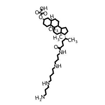 CC(CCC(=O)NCCCNCCCCNCCCN)[C@H]1CCC2C3CC[C@@H]4C[C@H](OS(=O)(=O)O)CC[C@]4(C)C3CC[C@@]21C